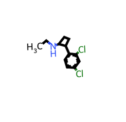 CCNC1CCC1c1ccc(Cl)cc1Cl